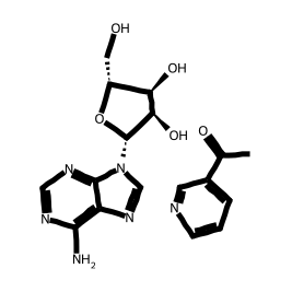 CC(=O)c1cccnc1.Nc1ncnc2c1ncn2[C@@H]1O[C@H](CO)[C@@H](O)[C@H]1O